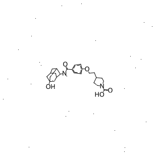 CN(C(=O)c1ccc(OCCC2CCN(C(=O)O)CC2)cc1)C1C2CC3CC1CC(O)(C3)C2